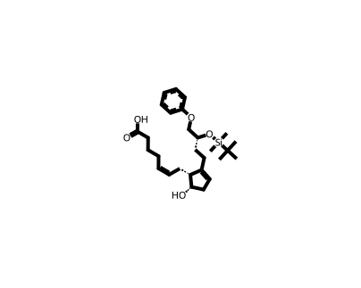 CC(C)(C)[Si](C)(C)O[C@H](CCC1=CC[C@H](O)[C@@H]1C/C=C\CCCC(=O)O)COc1ccccc1